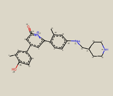 Cc1cc(-c2cc(-c3ccc(NCC4CCNCC4)cc3C)[nH]c(=O)c2)ccc1O